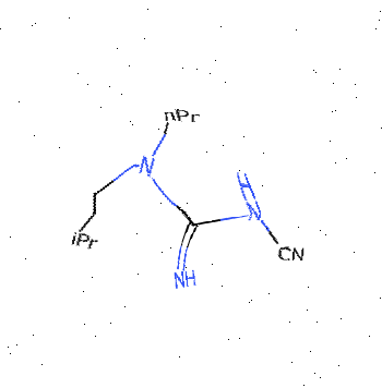 CCCN(CC(C)C)C(=N)NC#N